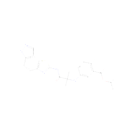 CC(C)OC(=O)c1cc(NC(C)(C)C(=O)Nc2nc3ccc4[nH]ncc4c3s2)ccc1Cl